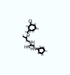 CC(CNC(=N)CNc1ccccc1)OCc1cccc(Cl)c1